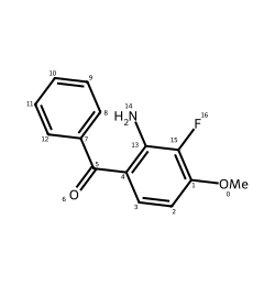 COc1ccc(C(=O)c2ccccc2)c(N)c1F